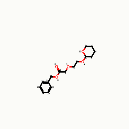 O=C(COCCOC1CCCCO1)OCc1ccccc1